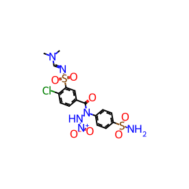 CN(C)C=NS(=O)(=O)c1cc(C(=O)N(N[N+](=O)[O-])c2ccc(S(N)(=O)=O)cc2)ccc1Cl